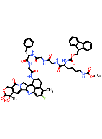 CC[C@@]1(O)C(=O)OCc2c1cc1n(c2=O)Cc2c-1nc1cc(F)c(C)c3c1c2[C@@H](NC(=O)CNC(=O)[C@H](Cc1ccccc1)NC(=O)CNC(=O)CNC(=O)[C@H](CCCCNC(=O)OC(C)(C)C)NC(=O)OCC1c2ccccc2-c2ccccc21)CC3